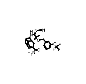 CC(C)(OCc1cccc(OC(F)(F)F)c1)/C(=N\C#N)NC1C2CC3CC1CC(C(N)=O)(C3)C2